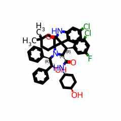 CC1(C)CCC2(CC1)N([C@H](c1ccccc1)[C@@H](O)c1ccccc1)[C@@H](C(=O)N[C@H]1CC[C@H](O)CC1)[C@H](c1cc(F)cc(Cl)c1)C21C(=O)Nc2cc(Cl)ccc21